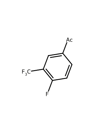 [CH2]C(=O)c1ccc(F)c(C(F)(F)F)c1